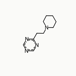 c1ncnc(CCN2CCCCC2)n1